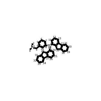 CN(C)Cc1[c]cc[c]([Ti]([c]2cccc3c2Cc2ccccc2-3)[c]2cccc3c2Cc2ccccc2-3)c1